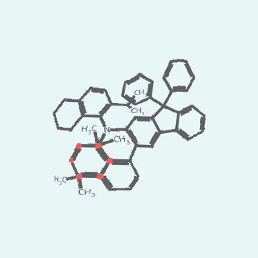 CC(C)c1ccc2c(c1N(c1ccccc1)c1cc3c(cc1-c1cccc4c1C(C)(C)CCC4(C)C)-c1ccccc1C3(c1ccccc1)c1ccccc1)CCCC2